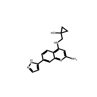 Nc1cc(NCC2(O)CC2)c2ccc(-c3ccn[nH]3)cc2n1